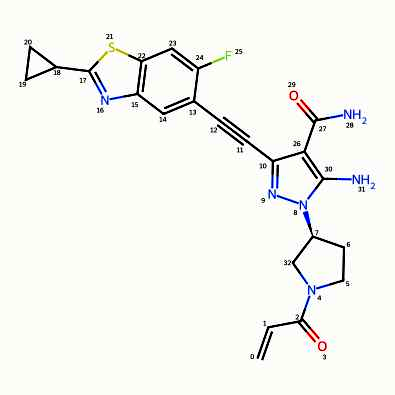 C=CC(=O)N1CC[C@H](n2nc(C#Cc3cc4nc(C5CC5)sc4cc3F)c(C(N)=O)c2N)C1